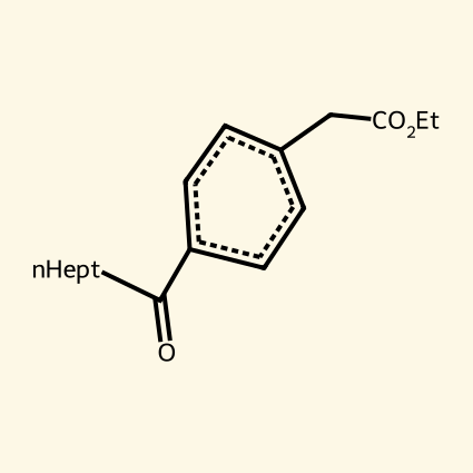 CCCCCCCC(=O)c1ccc(CC(=O)OCC)cc1